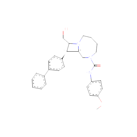 COc1ccc(NC(=O)N2CCCCN3C(CO)[C@H](c4ccc(-c5ccccc5)cc4)[C@@H]3C2)cc1